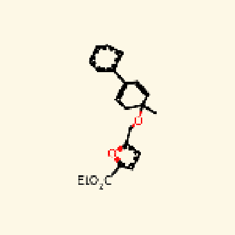 CCOC(=O)c1ccc(COC2(C)C=CC(c3ccccc3)=CC2)o1